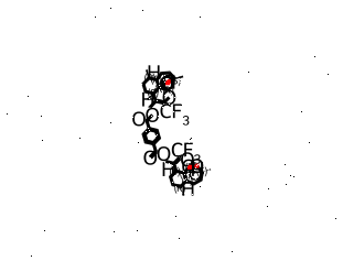 C[C@@H]1CC[C@H]2C(COC(=O)c3ccc(C(=O)OCC4=C(C(F)(F)F)O[C@@H]5O[C@]6(C)CC[C@H]7[C@H](C)CC[C@@H]4[C@@]57OO6)cc3)=C(C(F)(F)F)O[C@@H]3O[C@]4(C)CC[C@@H]1[C@]32OO4